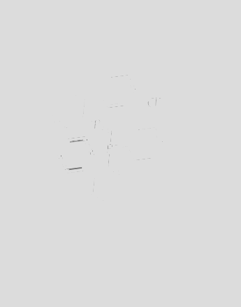 C(=P(c1ccccc1)(c1ccccc1)c1ccccc1)[P+](c1ccccc1)(c1ccccc1)c1ccccc1.[Cl-]